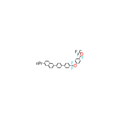 CCCc1ccc2cc(-c3ccc(-c4ccc(C(F)(F)Oc5ccc(C(F)(F)OC(F)(F)F)cc5)cc4)cc3)ccc2c1